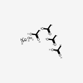 CC(=O)[O-].CC(=O)[O-].CC(=O)[O-].CC(=O)[O-].O.O.[Zr+4]